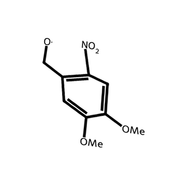 COc1cc(C[O])c([N+](=O)[O-])cc1OC